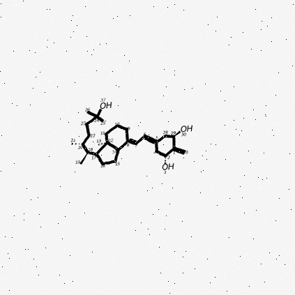 C=C1[C@H](O)CC(=C/C=C2\CCC[C@@]3(C)C2CCC3[C@@H](C)[C@H](C)CCC(C)(C)O)C[C@H]1O